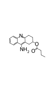 CCCC(=O)OC1CCc2nc3ccccc3c(N)c2C1